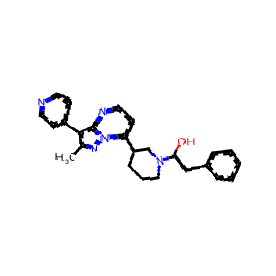 Cc1nn2c(C3CCCN(C(O)Cc4ccccc4)C3)ccnc2c1-c1ccncc1